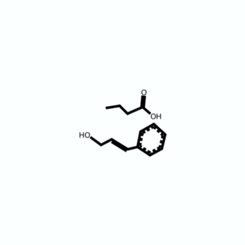 CCCC(=O)O.OCC=Cc1ccccc1